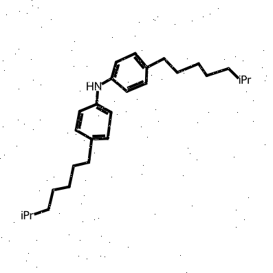 CC(C)CCCCCc1ccc(Nc2ccc(CCCCCC(C)C)cc2)cc1